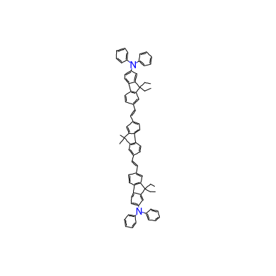 CCC1(CC)c2cc(/C=C/c3ccc4c(c3)C(C)(C)c3cc(/C=C/c5ccc6c(c5)C(CC)(CC)c5cc(N(c7ccccc7)c7ccccc7)ccc5-6)ccc3-4)ccc2-c2ccc(N(c3ccccc3)c3ccccc3)cc21